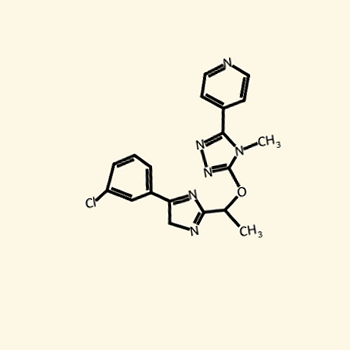 CC(Oc1nnc(-c2ccncc2)n1C)C1=NCC(c2cccc(Cl)c2)=N1